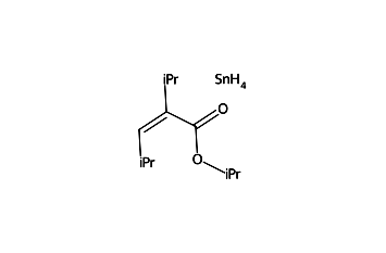 CC(C)C=C(C(=O)OC(C)C)C(C)C.[SnH4]